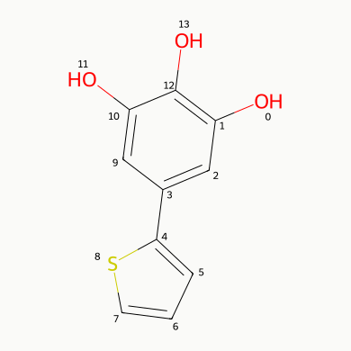 Oc1cc(-c2cccs2)cc(O)c1O